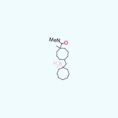 BC1(CC2CCCC(C)(C(=O)NC)CCC2)CCCCCCC1